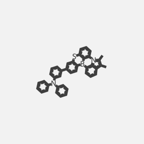 Cc1c(C)n2c3c(cccc13)B1c3ccc(-c4cccc(N(c5ccccc5)c5ccccc5)c4)cc3Sc3cccc-2c31